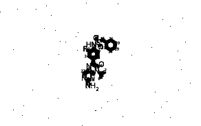 CC(C)n1c(=O)c(-c2ccc(NS(=O)(=O)CC3CCCCC3)c(F)c2)nc2cnc(N)nc21